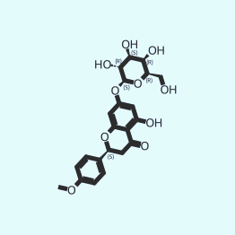 COc1ccc([C@@H]2CC(=O)c3c(O)cc(O[C@@H]4O[C@H](CO)[C@H](O)[C@H](O)[C@H]4O)cc3O2)cc1